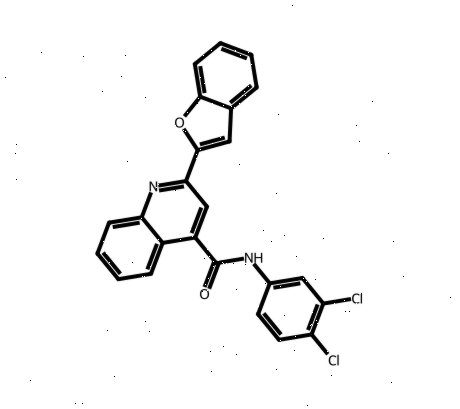 O=C(Nc1ccc(Cl)c(Cl)c1)c1cc(-c2cc3ccccc3o2)nc2ccccc12